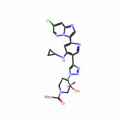 COC(=O)N1CC[C@@H](n2cc(-c3cnc(-c4cnc5cc(Cl)cnn45)cc3NC3CC3)nn2)[C@](C)(O)C1